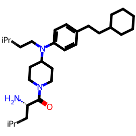 CC(C)CCN(c1ccc(CCC2CCCCC2)cc1)C1CCN(C(=O)[C@@H](N)CC(C)C)CC1